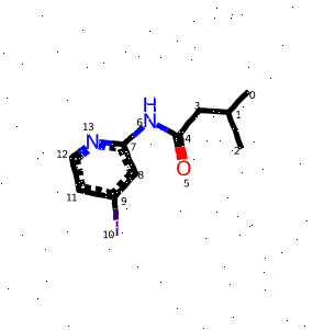 CC(C)CC(=O)Nc1cc(I)ccn1